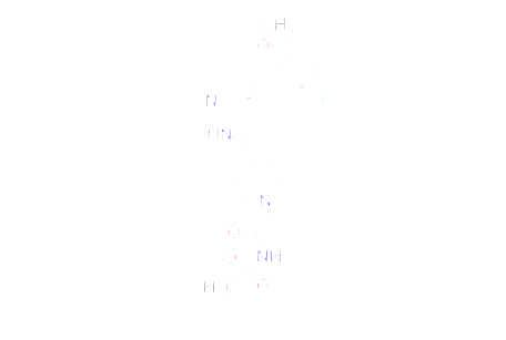 COc1ccc(F)cc1-c1ccnc2[nH]c(C3=CCN(CC(=O)NS(C)(=O)=O)CC3)cc12